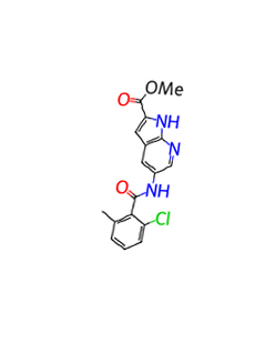 COC(=O)c1cc2cc(NC(=O)c3c(C)cccc3Cl)cnc2[nH]1